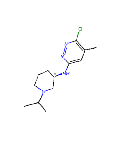 Cc1cc(N[C@@H]2CCCN(C(C)C)C2)nnc1Cl